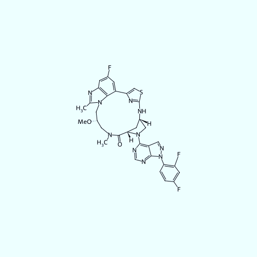 CO[C@H]1CN(C)C(=O)[C@@H]2C[C@@H](CN2c2ncnc3c2cnn3-c2ccc(F)cc2F)Nc2nc(cs2)-c2cc(F)cc3nc(C)n(c23)C1